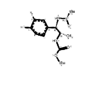 C[C@H](NC(=O)OC(C)(C)C)[C@H](N[S@+]([O-])C(C)(C)C)c1ccc(F)c(F)c1